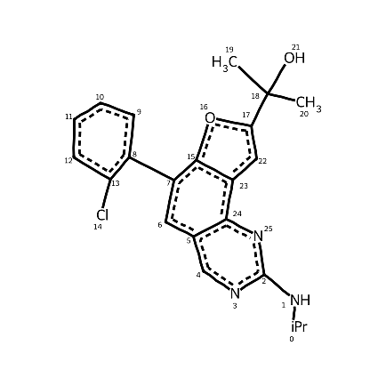 CC(C)Nc1ncc2cc(-c3ccccc3Cl)c3oc(C(C)(C)O)cc3c2n1